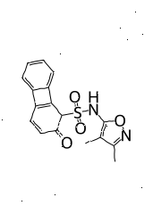 Cc1noc(NS(=O)(=O)C2C(=O)C=CC3=C2c2ccccc23)c1C